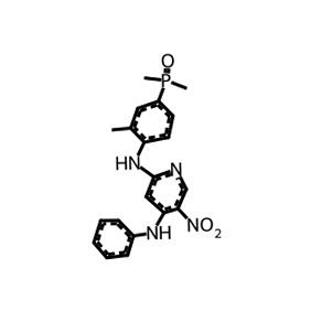 Cc1cc(P(C)(C)=O)ccc1Nc1cc(Nc2ccccc2)c([N+](=O)[O-])cn1